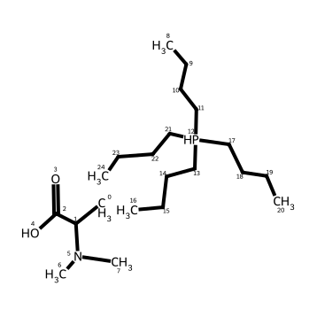 CC(C(=O)O)N(C)C.CCCC[PH](CCCC)(CCCC)CCCC